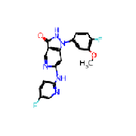 COc1cc(-n2[nH]c(=O)c3cnc(Nc4ccc(F)cn4)cc32)ccc1F